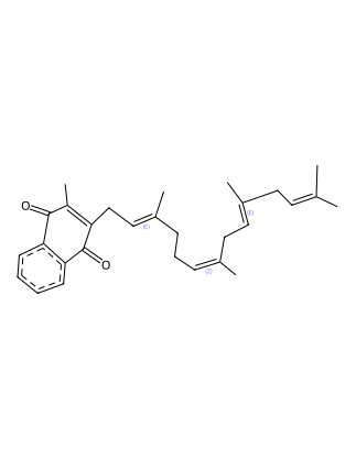 CC(C)=CC/C(C)=C/C/C(C)=C\CC/C(C)=C/CC1=C(C)C(=O)c2ccccc2C1=O